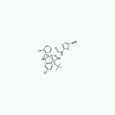 CC(C)(C)C[C@@H]1N[C@@H](C(=O)Nc2ccc(C#N)s2)[C@@H](c2cccc(Cl)c2F)C12C(=O)Nc1cc(Cl)ccc12